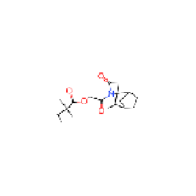 CCC(C)(C)C(=O)OCC(=O)N1C(=O)CC12C1CCC(C1)C2C